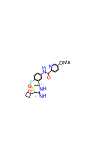 COc1ccc(C(=O)Nc2ccc(F)c([C@]3(C)CS(=O)(=O)[C@](C)(C4CCC4)C(=N)N3)c2)nc1